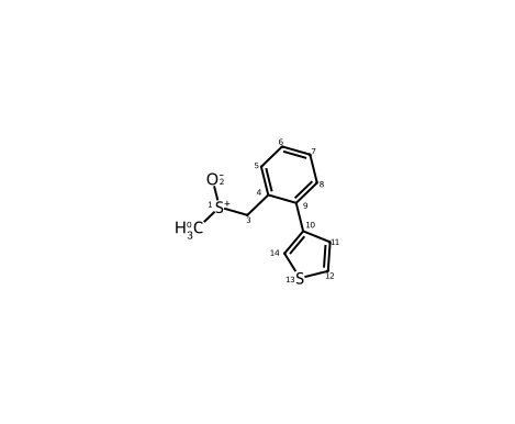 C[S+]([O-])Cc1ccccc1-c1ccsc1